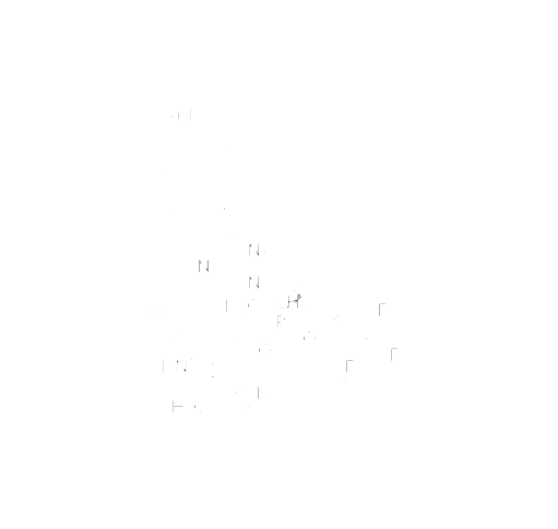 Cn1nc(-c2ccc(Cl)cc2)nc1C1=C(OP(C)(=S)OCC(F)(F)F)C(C)(C)NC1=O